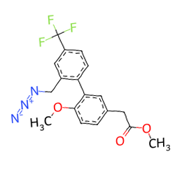 COC(=O)Cc1ccc(OC)c(-c2ccc(C(F)(F)F)cc2CN=[N+]=[N-])c1